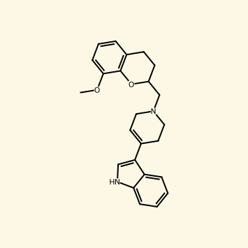 COc1cccc2c1OC(CN1CC=C(c3c[nH]c4ccccc34)CC1)CC2